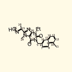 CCn1c(=O)n(Cc2ccc3c(C)cccc3c2)c(=O)c2c1nc(C(C)=NO)n2C